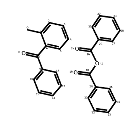 Cc1ccccc1C(=O)c1ccccc1.O=C(OC(=O)c1ccccc1)c1ccccc1